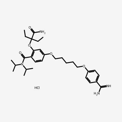 CCC(CC)(Oc1cc(OCCCCCOc2ccc(C(=N)N)cc2)ccc1C(=O)N(C(C)C)C(C)C)C(N)=O.Cl